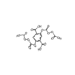 O=C(O)OOC(=O)Oc1cc(C(=O)O)c(OC(=O)OOC(=O)O)cc1C(=O)O